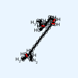 CC(=O)O[C@H](CCC(C)C)C1=NC(C(=O)N[C@@H](Cc2ccc(O)cc2)C[C@H](C)C(=O)NNC(=O)OCCSSC[C@H](NC(=O)[C@H](CC(=O)O)NC(=O)[C@H](CC(=O)O)NC(=O)CCOCCOCCOCCOCCOCCOCCOCCOCCOCCOCCOCCOCCNC(=O)CN(CCN(CC(=O)O)CC(=O)Nc2ccc(S(N)(=O)=O)cc2)CC(=O)Nc2ccc(S(N)(=O)=O)cc2)C(=O)O)CS1